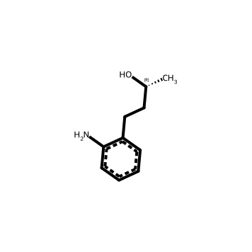 C[C@@H](O)CCc1ccccc1N